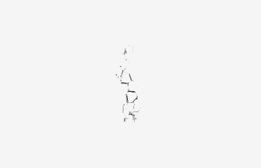 CCCCc1ccc(-c2ccc(OC(F)(F)F)cc2)cn1